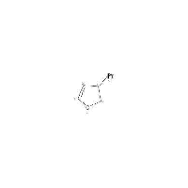 CC(C)C1C=COC1